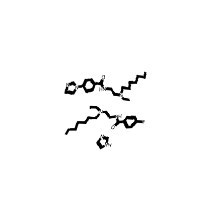 CCCCCCCN(CC)CCNC(=O)c1ccc(-n2ccnc2)cc1.CCCCCCCN(CC)CCNC(=O)c1ccc(F)cc1.c1c[nH]cn1